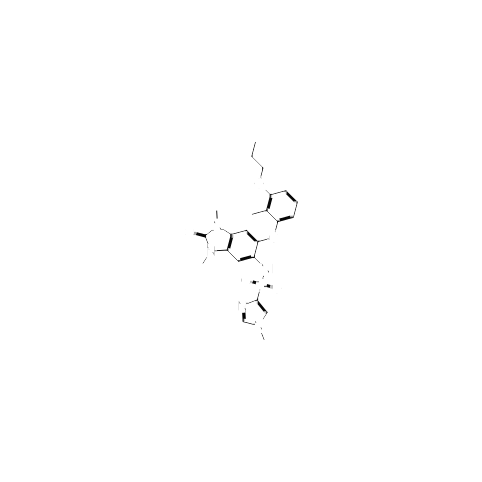 CCCOc1cccc(Oc2cc3c(cc2NS(=O)(=O)c2cn(C)cn2)n(C)c(=O)n3C)c1C